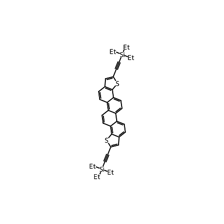 CC[Si](C#Cc1cc2ccc3c4ccc5c(ccc6cc(C#C[Si](CC)(CC)CC)sc65)c4ccc3c2s1)(CC)CC